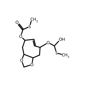 CSC(=O)OC1/C=C/C(OC(O)SC)CC2OCOC2C1